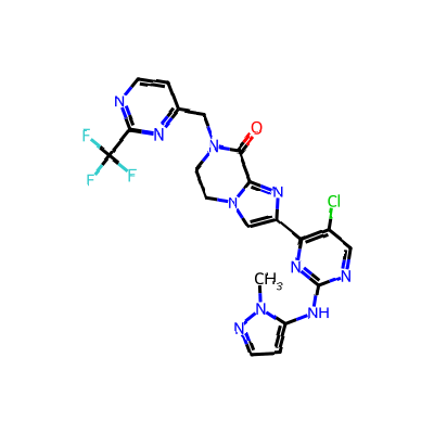 Cn1nccc1Nc1ncc(Cl)c(-c2cn3c(n2)C(=O)N(Cc2ccnc(C(F)(F)F)n2)CC3)n1